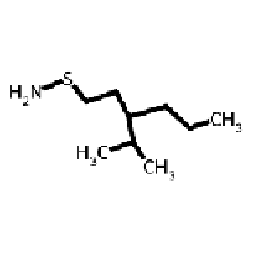 CCCC(CCSN)C(C)C